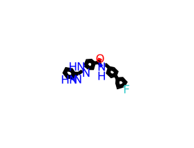 O=C(NCc1ccc(-c2ccc(F)cc2)cc1)c1ccc2[nH]c(-c3n[nH]c4ccccc34)nc2c1